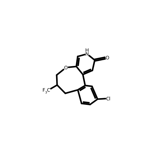 O=c1cc2c(c[nH]1)OCC(C(F)(F)F)Cc1ccc(Cl)cc1-2